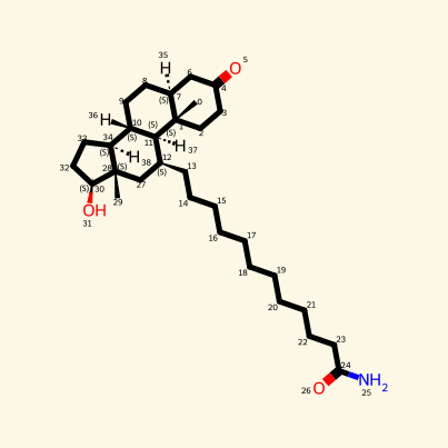 C[C@]12CCC(=O)C[C@@H]1CC[C@@H]1[C@@H]2[C@@H](CCCCCCCCCCCC(N)=O)C[C@]2(C)[C@@H](O)CC[C@@H]12